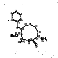 CC(C)CO[C@@H]1[C@@H](Cc2ccccc2)CCCC[C@H](N)C(=O)O[C@H]1C